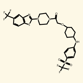 O=C(COC1CCC(Nc2ccc(S(=O)(=O)C(F)(F)F)cc2)CC1)N1CCN(c2nc3cc(C(F)(F)F)ccc3s2)CC1